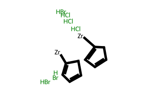 Br.Br.Br.Cl.Cl.Cl.[Zr][C]1=CC=CC1.[Zr][C]1=CC=CC1